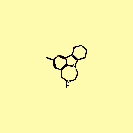 Cc1cc2c3c(c1)c1c(n3CCNC2)CCCC1